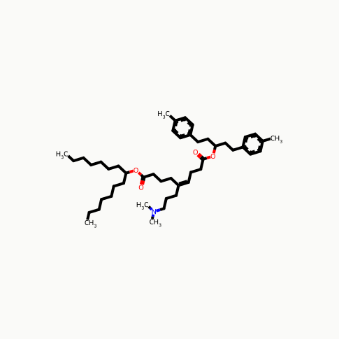 CCCCCCCC(CCCCCCC)OC(=O)CCC/C(=C\CCC(=O)OC(CCc1ccc(C)cc1)CCc1ccc(C)cc1)CCCN(C)C